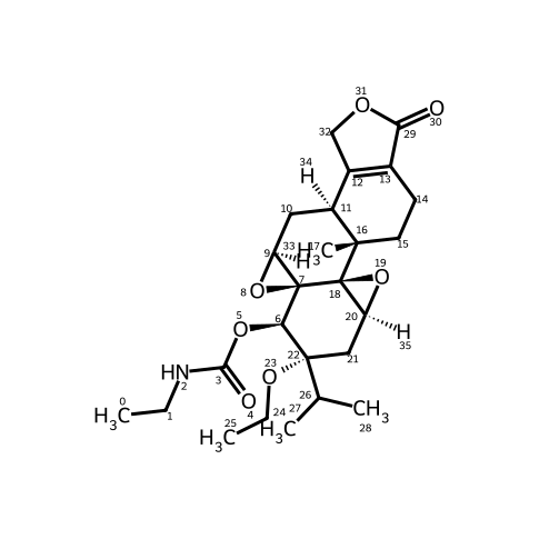 CCNC(=O)O[C@H]1[C@]23O[C@H]2C[C@H]2C4=C(CC[C@]2(C)[C@@]32O[C@H]2C[C@@]1(OCC)C(C)C)C(=O)OC4